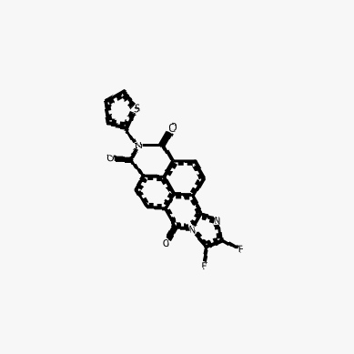 O=C1c2ccc3c(=O)n4c(F)c(F)nc4c4ccc(c2c34)C(=O)N1c1cccs1